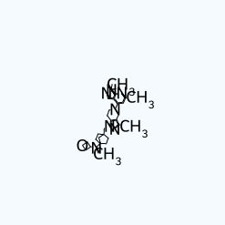 Cc1cc(N2CCc3c(c(C)nn3CC34CCC(N(C)C5COC5)(CC3)C4)C2)c2cnn(C)c2n1